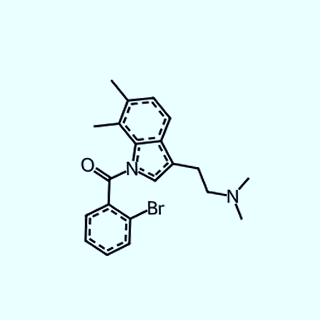 Cc1ccc2c(CCN(C)C)cn(C(=O)c3ccccc3Br)c2c1C